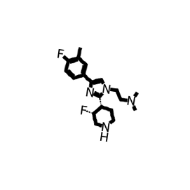 Cc1cc(-c2cn(CCN(C)C)c([C@@H]3CCNC[C@@H]3F)n2)ccc1F